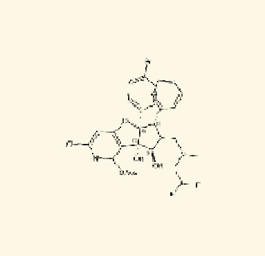 COc1nc(Cl)cc2c1[C@]1(O)[C@H](O)C(CN(C)CC(F)F)[C@@H](c3ccccc3)[C@]1(c1ccc(Br)cc1)O2